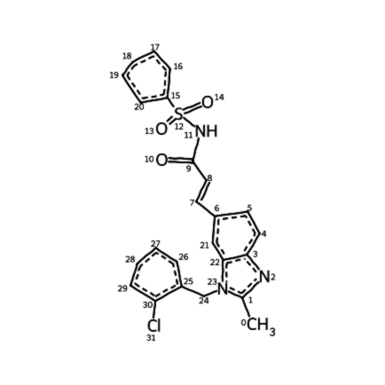 Cc1nc2ccc(C=CC(=O)NS(=O)(=O)c3ccccc3)cc2n1Cc1ccccc1Cl